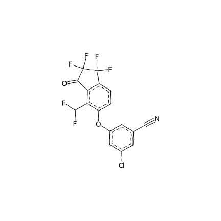 N#Cc1cc(Cl)cc(Oc2ccc3c(c2C(F)F)C(=O)C(F)(F)C3(F)F)c1